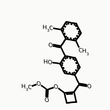 COC(=O)OC1=C(C(=O)c2ccc(C(=O)c3c(C)cccc3C)c(O)c2)CC1